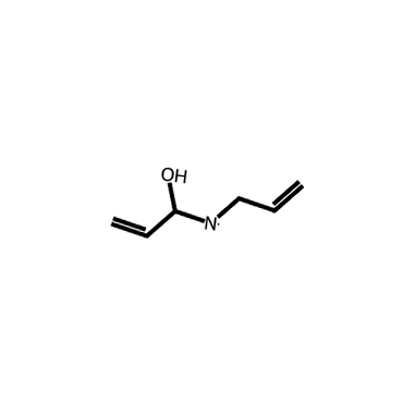 C=CC[N]C(O)C=C